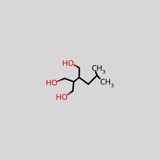 CC(C)CC(CO)C(CO)CO